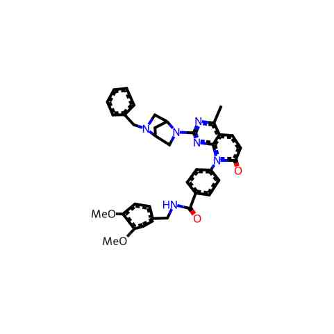 COc1ccc(CNC(=O)c2ccc(-n3c(=O)ccc4c(C)nc(N5CC6CC5CN6Cc5ccccc5)nc43)cc2)cc1OC